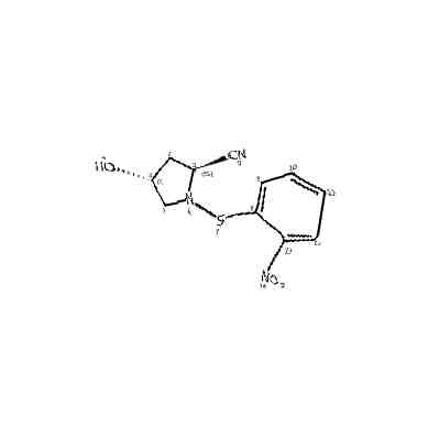 N#C[C@@H]1C[C@@H](O)CN1Sc1ccccc1[N+](=O)[O-]